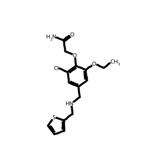 CCOc1cc(CNCc2cccs2)cc(Cl)c1OCC(N)=O